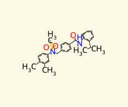 Cc1ccc(N(Cc2ccc(C(=O)Nc3ccccc3C(C)C)cc2)S(C)(=O)=O)cc1C